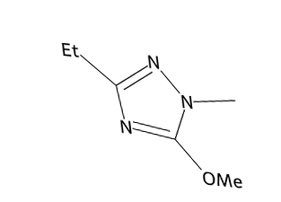 CCc1nc(OC)n(C)n1